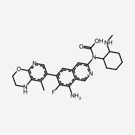 CNC1CCCCC1N(C(=O)O)c1cc2cc(-c3cnc4c(c3C)NCCO4)c(F)c(N)c2cn1